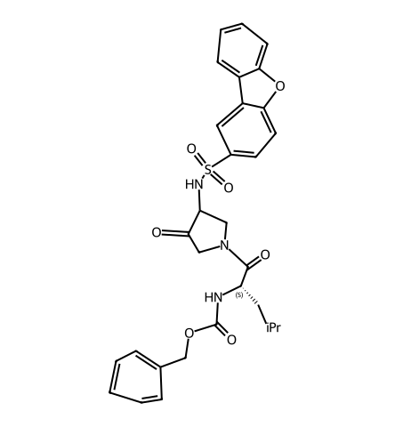 CC(C)C[C@H](NC(=O)OCc1ccccc1)C(=O)N1CC(=O)C(NS(=O)(=O)c2ccc3oc4ccccc4c3c2)C1